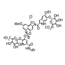 CCCNC(=O)c1ccc(O[C@@H]2O[C@H](C(=O)O)[C@@H](O)[C@H](O)[C@H]2O)c(OS(=O)(=O)Oc2cc3c(c4cc(OC)ccc24)[C@H](CCl)CN3C(=O)c2cc3cc(OCC)c(OC4O[C@H](C(=O)O)[C@@H](O)[C@H](O)[C@H]4O)cc3[nH]2)c1